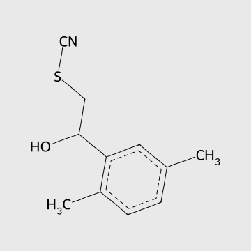 Cc1ccc(C)c(C(O)CSC#N)c1